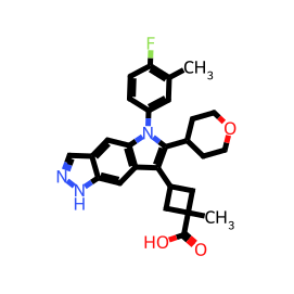 Cc1cc(-n2c(C3CCOCC3)c(C3CC(C)(C(=O)O)C3)c3cc4[nH]ncc4cc32)ccc1F